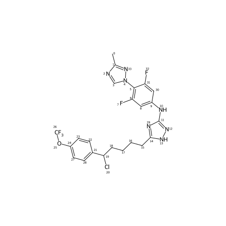 Cc1ncn(-c2c(F)cc(Nc3n[nH]c(CCCCC(Cl)c4ccc(OC(F)(F)F)cc4)n3)cc2F)n1